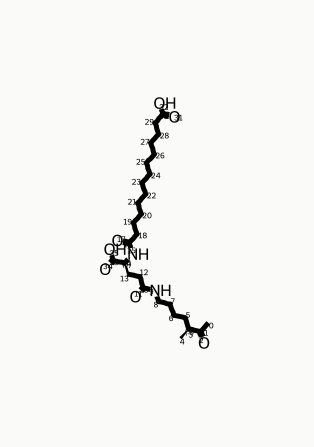 CC(=O)[C@@H](C)CCCCNC(=O)CC[C@H](NC(=O)CCCCCCCCCCCCC(=O)O)C(=O)O